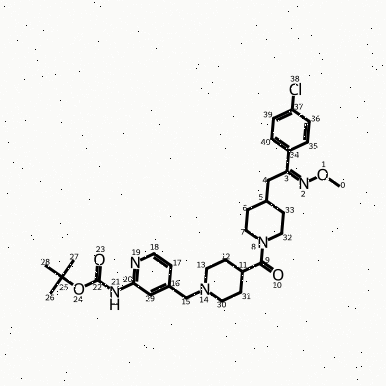 CON=C(CC1CCN(C(=O)C2CCN(Cc3ccnc(NC(=O)OC(C)(C)C)c3)CC2)CC1)c1ccc(Cl)cc1